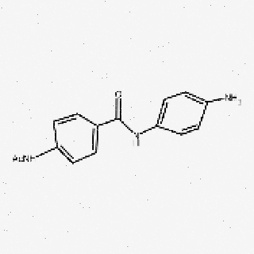 CC(=O)Nc1ccc(C(=O)Nc2ccc(N)cc2)cc1